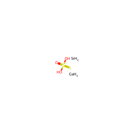 O=S(O)(O)=S.[GaH3].[SrH2]